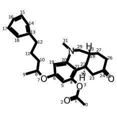 CC(=O)Oc1cc(OC(C)CCCc2ccccc2)cc2c1[C@@H]1CC(=O)CC[C@H]1CN2C